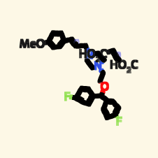 COc1ccc(/C=C/CN2CCN(CCOC(c3ccc(F)cc3)c3ccc(F)cc3)CC2)cc1.O=C(O)/C=C\C(=O)O